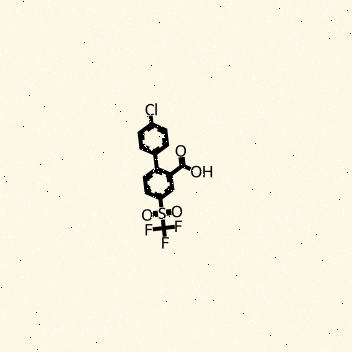 O=C(O)c1cc(S(=O)(=O)C(F)(F)F)ccc1-c1ccc(Cl)cc1